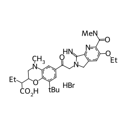 Br.CCOc1cc2c(nc1C(=O)NC)C(=N)N(CC(=O)c1cc3c(c(C(C)(C)C)c1)OC(C(CC)C(=O)O)CN3C)C2